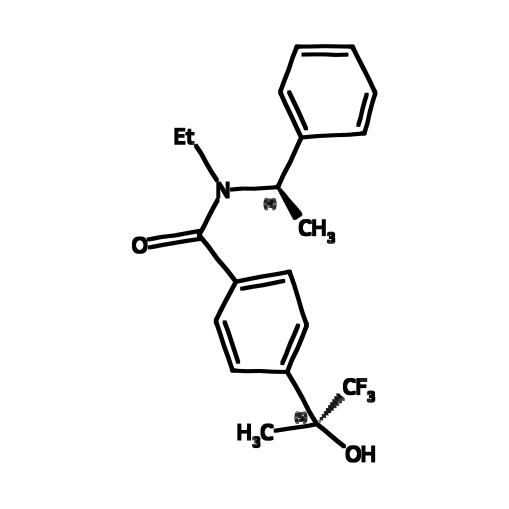 CCN(C(=O)c1ccc([C@](C)(O)C(F)(F)F)cc1)[C@H](C)c1ccccc1